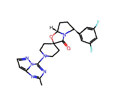 Cc1nc(N2CCC3(CC2)O[C@@H]2CC[C@@H](c4cc(F)cc(F)c4)N2C3=O)n2nccc2n1